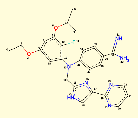 CCOc1cc(OC(C)C)c(F)c(N(Cc2nc(-c3ncccn3)c[nH]2)c2ccc(C(=N)N)cc2)c1